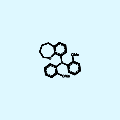 COc1ccccc1P(c1ccccc1OC)c1cccc2c1OCCCC2